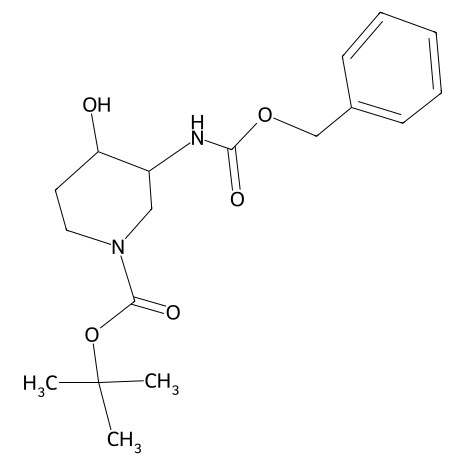 CC(C)(C)OC(=O)N1CCC(O)C(NC(=O)OCc2ccccc2)C1